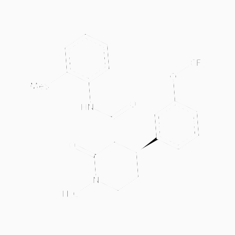 CSc1ccccc1NC(=O)[C@H]1C(=O)N(C)CC[C@@H]1c1cccc(OC(F)(F)F)c1